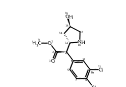 COC(=O)[C@H](c1ccc(Cl)c(Cl)c1)[C@@H]1C[C@@H](O)CN1